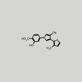 Cc1ccsc1-c1cn(-c2ccc(C(=O)O)c(O)c2)cc1C#N